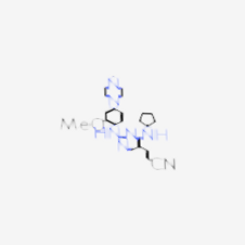 COc1cc(N2CCN(C)CC2)ccc1Nc1ncc(C=CC#N)c(NC2CCCC2)n1